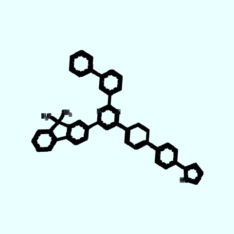 CC1(C)c2ccccc2-c2ccc(-c3cc(C4=CC=C(c5ccc(-c6ccc[nH]6)cc5)CC4)nc(-c4cccc(-c5ccccc5)c4)n3)cc21